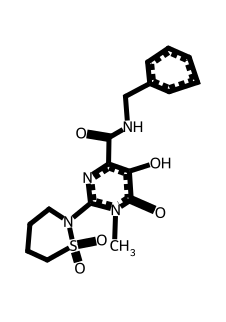 Cn1c(N2CCCCS2(=O)=O)nc(C(=O)NCc2ccccc2)c(O)c1=O